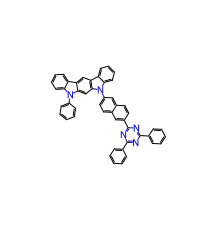 c1ccc(-c2nc(-c3ccccc3)nc(-c3ccc4cc(-n5c6ccccc6c6cc7c8ccccc8n(-c8ccccc8)c7cc65)ccc4c3)n2)cc1